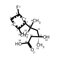 Cc1ccc(F)cc1C(C)(C)C[C@@](C)(O)CC(=O)O